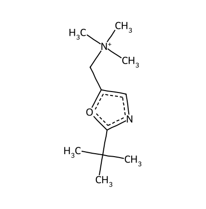 CC(C)(C)c1ncc(C[N+](C)(C)C)o1